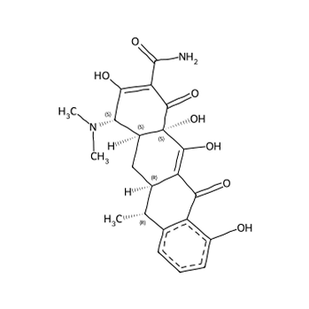 C[C@H]1c2cccc(O)c2C(=O)C2=C(O)[C@]3(O)C(=O)C(C(N)=O)=C(O)[C@@H](N(C)C)[C@@H]3C[C@@H]21